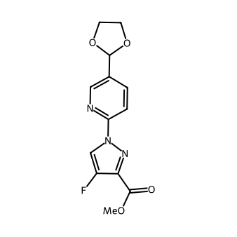 COC(=O)c1nn(-c2ccc(C3OCCO3)cn2)cc1F